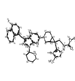 Cc1csc(C2(CNC(=O)OC(C)(C)C)C3CCN(c4cnc5c(-c6ccc(F)c7ncccc67)nn(C6CCCCO6)c5n4)CC32)n1